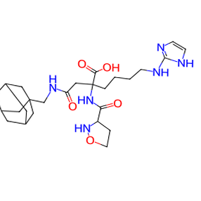 O=C(CC(CCCCNc1ncc[nH]1)(NC(=O)C1CCON1)C(=O)O)NCC12CC3CC(CC(C3)C1)C2